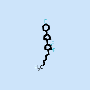 CCCCCCc1ccc(-c2ccc(C3CCC(F)CC3)cc2)c(F)c1F